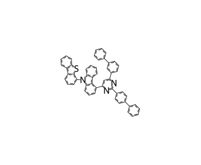 c1ccc(-c2ccc(-c3nc(-c4cccc(-c5ccccc5)c4)cc(-c4cccc5c4c4ccccc4n5-c4cccc5c4sc4ccccc45)n3)cc2)cc1